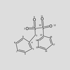 O=S(=O)(Cc1ccccc1)S(=O)(=O)c1ccccc1